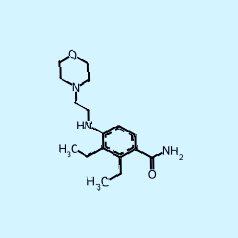 CCc1c(NCCN2CCOCC2)ccc(C(N)=O)c1CC